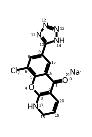 O=c1c2c(oc3c(Cl)cc(-c4nnn[nH]4)cc13)NCC=C2.[Na]